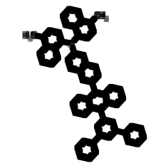 Cc1ccc(N(c2ccc3cc(-c4c5ccccc5c(-c5cc(-c6ccccc6)cc(-c6ccccc6)c5)c5ccccc45)ccc3c2)c2ccc(C)c3ccccc23)c2ccccc12